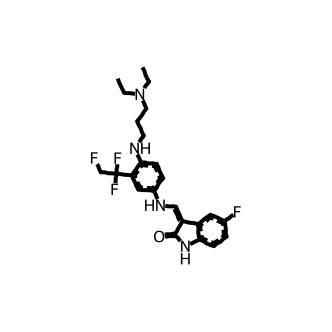 CCN(CC)CCCNc1ccc(N/C=C2\C(=O)Nc3ccc(F)cc32)cc1C(F)(F)CF